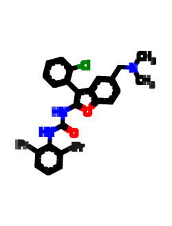 CC(C)c1cccc(C(C)C)c1NC(=O)Nc1oc2ccc(CN(C)C)cc2c1-c1ccccc1Cl